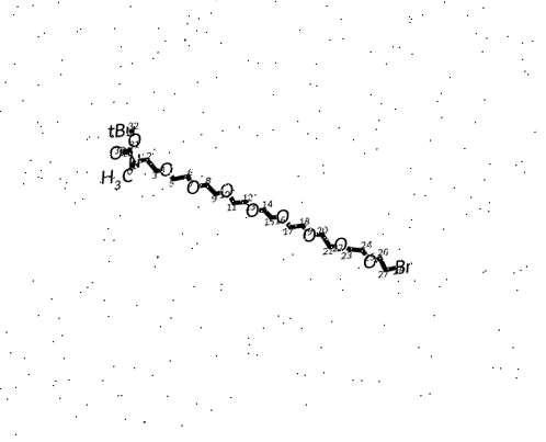 CN(CCOCCOCCOCCOCCOCCOCCOCCOCCBr)C(=O)OC(C)(C)C